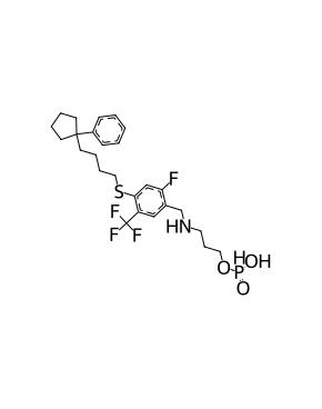 O=[PH](O)OCCCNCc1cc(C(F)(F)F)c(SCCCCC2(c3ccccc3)CCCC2)cc1F